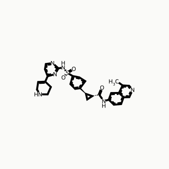 Cc1cncc2ccc(NC(=O)[C@@H]3C[C@H]3c3ccc(S(=O)(=O)Nc4nccc(C5=CCNCC5)n4)cc3)cc12